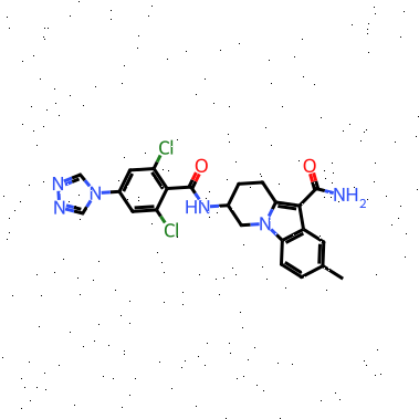 Cc1ccc2c(c1)c(C(N)=O)c1n2CC(NC(=O)c2c(Cl)cc(-n3cnnc3)cc2Cl)CC1